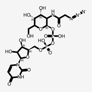 [N-]=[N+]=NCC(=O)NC1[C@@H](OP(=O)(O)OP(=O)(O)OC[C@H]2O[C@@H](n3ccc(=O)[nH]c3=O)C(O)[C@H]2O)OC(CO)[C@H](O)[C@@H]1O